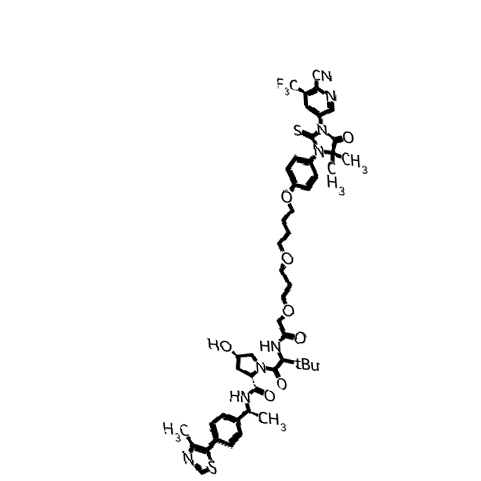 Cc1ncsc1-c1ccc([C@H](C)NC(=O)[C@@H]2C[C@@H](O)CN2C(=O)C(NC(=O)COCCCOCCCCOc2ccc(N3C(=S)N(c4cnc(C#N)c(C(F)(F)F)c4)C(=O)C3(C)C)cc2)C(C)(C)C)cc1